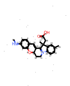 CNc1ccc2c(c1)OC1CC[N+]3=C(C1=C2)C(C)(CC(=O)O)c1cc(C)ccc13